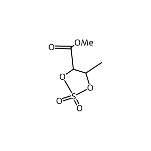 COC(=O)C1OS(=O)(=O)OC1C